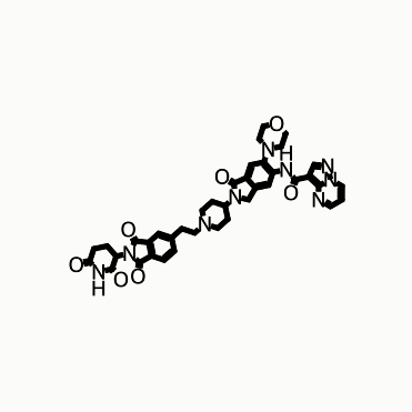 O=C1CCC(N2C(=O)c3ccc(CCN4CCC(N5Cc6cc(NC(=O)c7cnn8cccnc78)c(N7CCOCC7)cc6C5=O)CC4)cc3C2=O)C(=O)N1